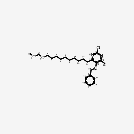 COCOCCCCCCCCCCc1nc(Cl)nc(C)c1OCc1ccccc1